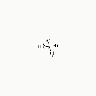 [Li][C](C)(Cl)Cl